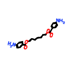 Nc1ccc(C(=O)OCCCCCCCOC(=O)c2ccc(N)cc2)cc1